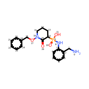 NCc1ccccc1NP(=O)(O)C1CCCN(OCc2ccccc2)C1=O